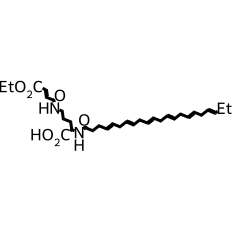 CCC=CCC=CCC=CCC=CCC=CCC=CCCC(=O)NC(CCCNC(=O)C=CC(=O)OCC)C(=O)O